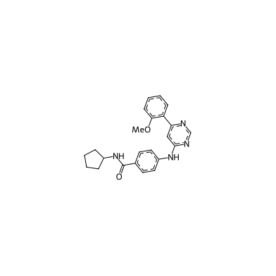 COc1ccccc1-c1cc(Nc2ccc(C(=O)NC3CCCC3)cc2)ncn1